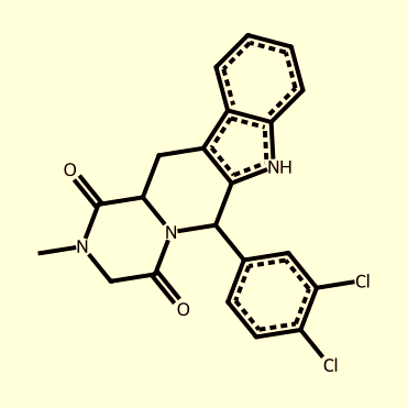 CN1CC(=O)N2C(Cc3c([nH]c4ccccc34)C2c2ccc(Cl)c(Cl)c2)C1=O